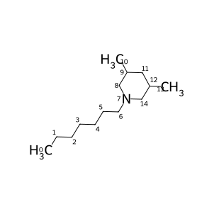 CCCCCCCN1CC(C)CC(C)C1